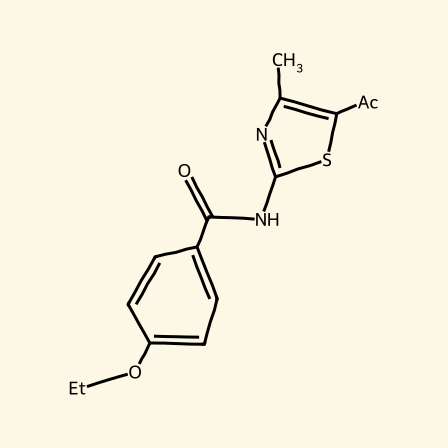 CCOc1ccc(C(=O)Nc2nc(C)c(C(C)=O)s2)cc1